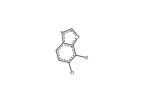 Clc1ccc2ncsc2c1Cl